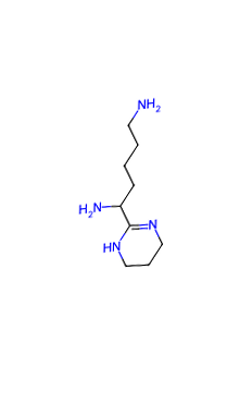 NCCCCC(N)C1=NCCCN1